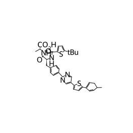 CC1C=CC(c2ccc(-c3cnc(-c4ccc(C[C@H](NC(=O)c5ccc(C(C)(C)C)s5)C(=O)N[C@H](C)C(=O)O)cc4)nc3)s2)=CC1